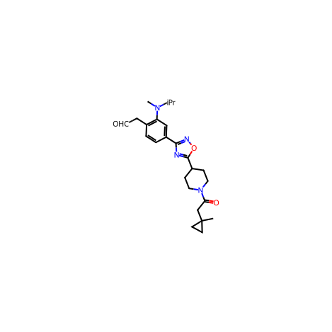 CC(C)N(C)c1cc(-c2noc(C3CCN(C(=O)CC4(C)CC4)CC3)n2)ccc1CC=O